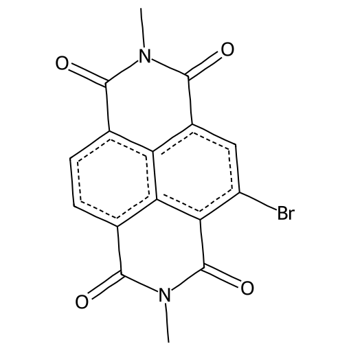 CN1C(=O)c2ccc3c4c(c(Br)cc(c24)C1=O)C(=O)N(C)C3=O